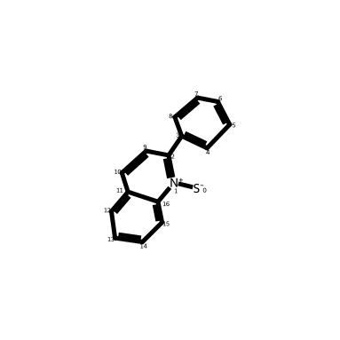 [S-][n+]1c(-c2ccccc2)ccc2ccccc21